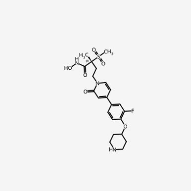 C[C@@](CCn1ccc(-c2ccc(OC3CCNCC3)c(F)c2)cc1=O)(C(=O)NO)S(C)(=O)=O